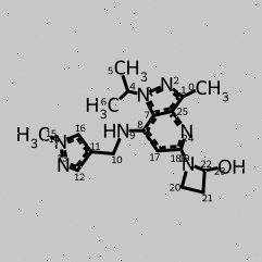 Cc1nn(C(C)C)c2c(NCc3cnn(C)c3)cc(N3CCC3O)nc12